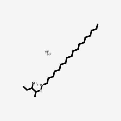 CCCCCCCCCCCCCCCCCCNOC(C)C(N)CC.F.F